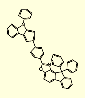 c1ccc(-n2c3ccccc3c3cc(-c4ccc(-c5nc6c7c(ccc6o5)-c5ccccc5C7(c5ccccc5)c5ccccc5)cc4)ccc32)cc1